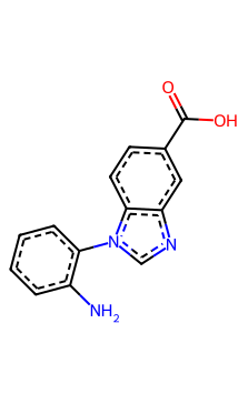 Nc1ccccc1-n1cnc2cc(C(=O)O)ccc21